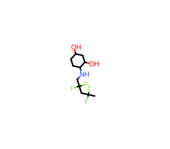 CC(F)(F)CC(F)(F)CNC1CCC(O)CC1O